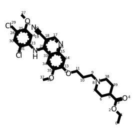 CCOC(=O)C1CCN(CCCOc2cc3ncc(C#N)c(Nc4cc(OC)c(Cl)cc4Cl)c3cc2OC)CC1